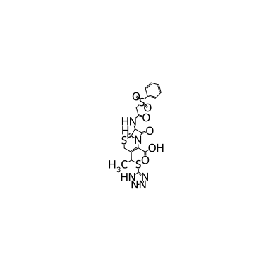 CC(Sc1nnn[nH]1)C1=C(C(=O)O)N2C(=O)C(NC(=O)CS(=O)(=O)c3ccccc3)[C@@H]2SC1